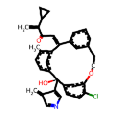 C=C1C=NC=C1[C@@]1(O)c2ccc(Cl)c(c2)OCCc2cccc(c2)/C(=C/C(=O)C(=C)C2CC2)c2cc1ccc2C